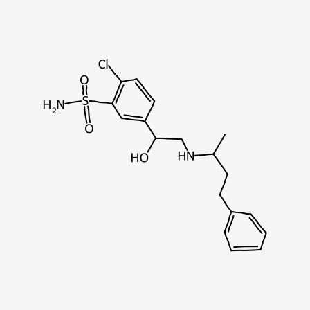 CC(CCc1ccccc1)NCC(O)c1ccc(Cl)c(S(N)(=O)=O)c1